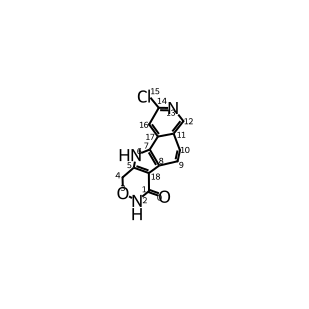 O=C1NOCc2[nH]c3c(ccc4cnc(Cl)cc43)c21